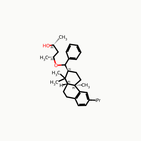 CC(C)c1ccc2c(c1)[C@]1(C)CC[C@H](C(O[C@H](C)C[C@@H](C)O)c3ccccc3)C(C)(C)[C@H]1CC2